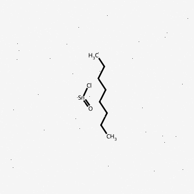 CCCCCCCC.[O]=[Sn][Cl]